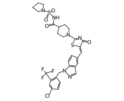 O=C1N=C(N2CCC(C(=O)NS(=O)(=O)N3CCCC3)CC2)S/C1=C\c1ccc2c(cnn2Cc2ccc(Cl)cc2C(F)(F)F)c1